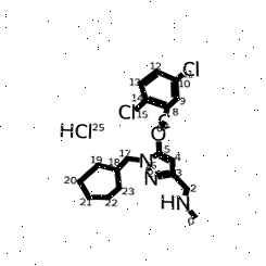 CNCc1cc(OCc2cc(Cl)ccc2Cl)n(CC2CCCCC2)n1.Cl